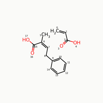 C=CC(=O)O.CC(=CCc1ccccc1)C(=O)O